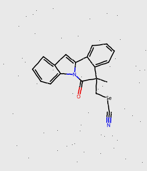 CC1(C[Se]C#N)C(=O)n2c(cc3ccccc32)-c2ccccc21